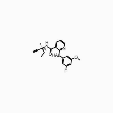 C#C[C@](C)(CC)NC(=O)c1cccnc1[AsH]c1cc(F)cc(OC)c1